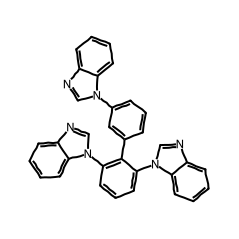 c1cc(-c2c(-n3cnc4ccccc43)cccc2-n2cnc3ccccc32)cc(-n2cnc3ccccc32)c1